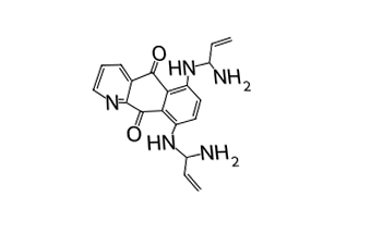 C=CC(N)Nc1ccc(NC(N)C=C)c2c1C(=O)c1cccnc1C2=O